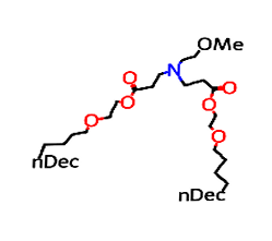 CCCCCCCCCCCCCCOCCOC(=O)CCN(CCOC)CCC(=O)OCCOCCCCCCCCCCCCCC